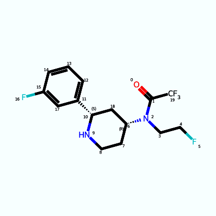 O=C(N(CCF)[C@@H]1CCN[C@H](c2cccc(F)c2)C1)C(F)(F)F